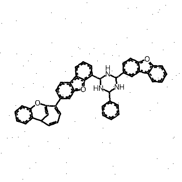 C1=CC2C=C(Oc3ccccc32)C(c2ccc3c(c2)oc2c(C4NC(c5ccccc5)NC(c5ccc6oc7ccccc7c6c5)N4)cccc23)=C1